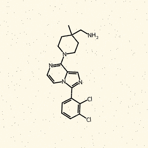 CC1(CN)CCN(c2nccn3c(-c4cccc(Cl)c4Cl)ncc23)CC1